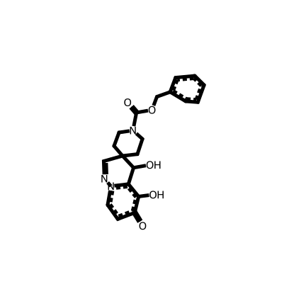 O=C(OCc1ccccc1)N1CCC2(C=Nn3ccc(=O)c(O)c3C2O)CC1